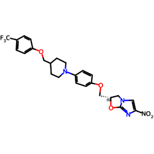 O=[N+]([O-])c1cn2c(n1)O[C@H](COc1ccc(N3CCC(COc4ccc(C(F)(F)F)cc4)CC3)cc1)C2